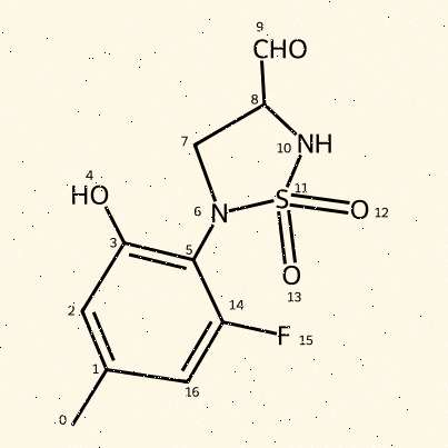 Cc1cc(O)c(N2CC(C=O)NS2(=O)=O)c(F)c1